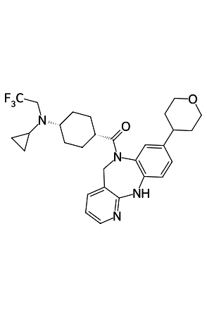 O=C([C@H]1CC[C@@H](N(CC(F)(F)F)C2CC2)CC1)N1Cc2cccnc2Nc2ccc(C3CCOCC3)cc21